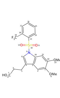 COc1cc2c(CCC(=O)O)cn(S(=O)(=O)c3ccccc3C(F)(F)F)c2cc1OC